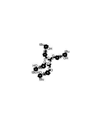 CC(C)(C)c1ccc(O)c(-n2n3c4ccc(C(=O)OCC(COCC(COC(=O)c5ccc6c(c5)n5n(-c7cc(C(C)(C)C)ccc7O)n65)COC(=O)c5ccc6c(c5)n5n(-c7cc(C(C)(C)C)ccc7O)n65)COC(=O)c5ccc6c(c5)n5n(-c7cc(C(C)(C)C)ccc7O)n65)cc4n23)c1